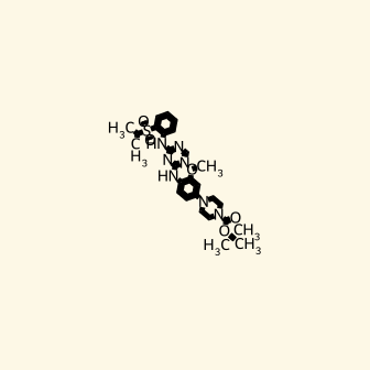 COc1cc(N2CCN(C(=O)OC(C)(C)C)CC2)ccc1Nc1ncnc(Nc2ccccc2S(=O)(=O)C(C)C)n1